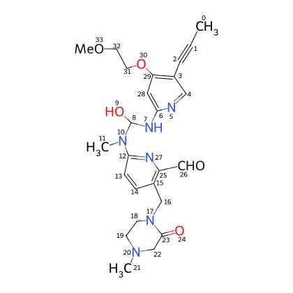 CC#Cc1cnc(NC(O)N(C)c2ccc(CN3CCN(C)CC3=O)c(C=O)n2)cc1OCCOC